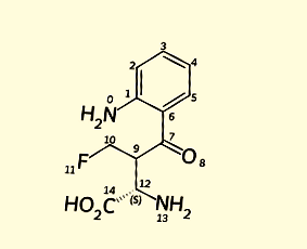 Nc1ccccc1C(=O)C(CF)[C@H](N)C(=O)O